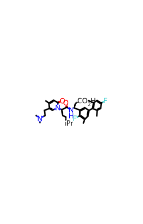 Cc1cc(=O)n(C(CCC(C)C)C(=O)NC(CC(=O)O)c2cc(-c3c(C)cc(F)cc3C)cc(C)c2F)cc1CCN(C)C